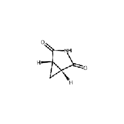 O=C1NC(=O)[C@@H]2C[C@H]12